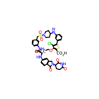 O=C(O)COc1c(C(=O)O)sc(-c2cccc(NC3CCN(S(=O)(=O)Cc4cccc(NC(=O)CNc5ccc6c(c5)CN(C5CCC(=O)NC5=O)C6=O)c4)CC3)c2)c1Cl